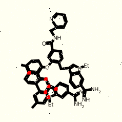 CCn1cc(Cc2ccc(C(=O)NCc3ccccn3)cc2Oc2ccc(C)cc2C(=O)OC(=O)c2ccc(C)cc2-c2ccccc2Cc2cn(CC)c3cc(C(=N)N)ccc23)c2ccc(C(=N)N)cc21